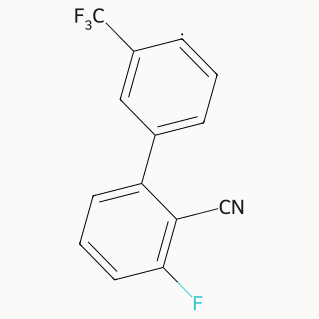 N#Cc1c(F)cccc1-c1cc[c]c(C(F)(F)F)c1